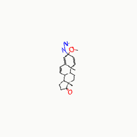 COC1(N=[N])C=C[C@@]2(C)C(=C1)C=CC1C2CC[C@]2(C)C(=O)CCC12